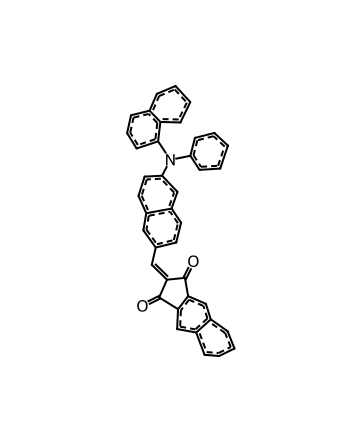 O=C1C(=Cc2ccc3cc(N(c4ccccc4)c4cccc5ccccc45)ccc3c2)C(=O)c2cc3ccccc3cc21